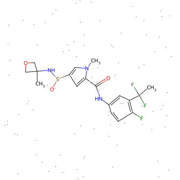 Cn1cc([S+]([O-])NC2(C)COC2)cc1C(=O)Nc1ccc(F)c(C(C)(F)F)c1